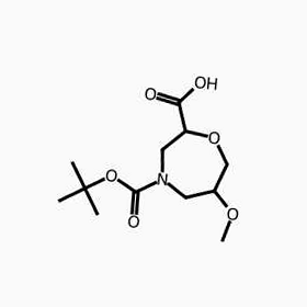 COC1COC(C(=O)O)CN(C(=O)OC(C)(C)C)C1